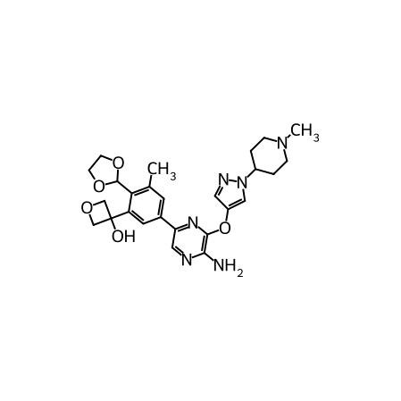 Cc1cc(-c2cnc(N)c(Oc3cnn(C4CCN(C)CC4)c3)n2)cc(C2(O)COC2)c1C1OCCO1